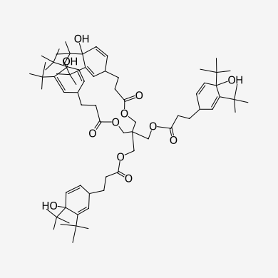 CC(C)(C)C1=CC(CCC(=O)OCC(COC(=O)CCC2C=CC(O)(C(C)(C)C)C(C(C)(C)C)=C2)(COC(=O)CCC2C=CC(O)(C(C)(C)C)C(C(C)(C)C)=C2)COC(=O)CCC2C=CC(O)(C(C)(C)C)C(C(C)(C)C)=C2)C=CC1(O)C(C)(C)C